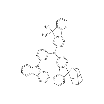 CC1(C)c2ccccc2-c2ccc(N(c3cccc(-n4c5ccccc5c5ccccc54)c3)c3ccc4c(c3)-c3ccccc3C43C4CC5CC(C4)CC3C5)cc21